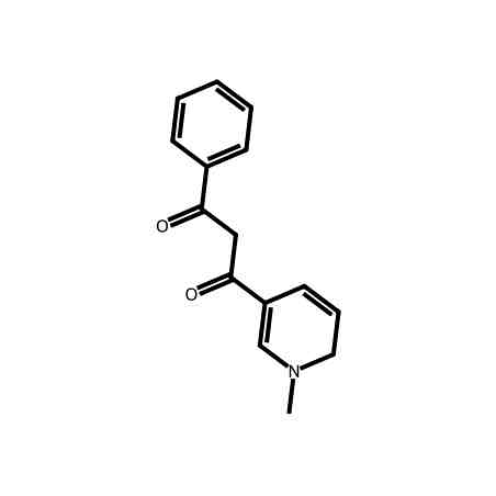 CN1C=C(C(=O)CC(=O)c2ccccc2)C=CC1